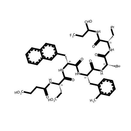 Cc1ccccc1C[C@H](NC(=O)[C@@H](Cc1ccc2ccccc2c1)NC(=O)[C@H](CC(=O)O)NC(=O)CCC(=O)O)C(=O)N[C@H](C(=O)N[C@@H](CC(C)C)C(=O)NC(C=O)CC(F)(F)F)C(C)(C)C